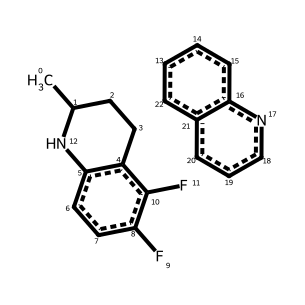 CC1CCc2c(ccc(F)c2F)N1.c1ccc2ncccc2c1